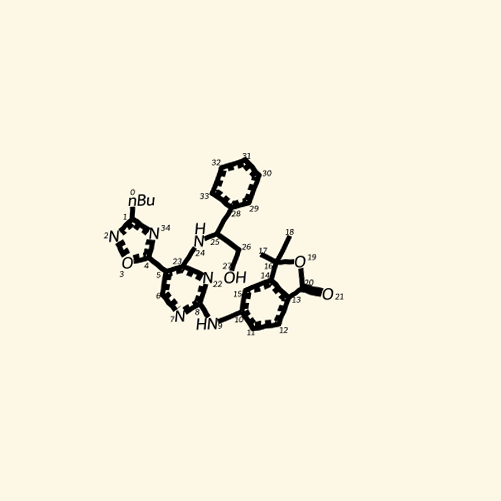 CCCCc1noc(-c2cnc(Nc3ccc4c(c3)C(C)(C)OC4=O)nc2NC(CO)c2ccccc2)n1